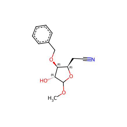 COC1O[C@H](CC#N)[C@H](OCc2ccccc2)[C@H]1O